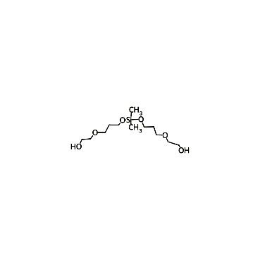 C[Si](C)(OCCCOCCO)OCCCOCCO